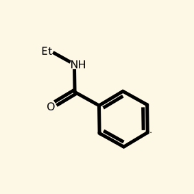 CCNC(=O)c1cc[c]cc1